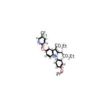 CCOC(=O)Cc1c(C(=O)OCC)c2cc(Oc3ccc(C(F)(F)F)cn3)ccc2n1-c1ccc(OC(C)C)cc1